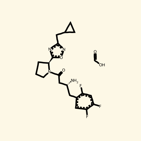 N[C@@H](CC(=O)N1CCC[C@H]1c1nc(CC2CC2)no1)Cc1cc(F)c(F)cc1F.O=CO